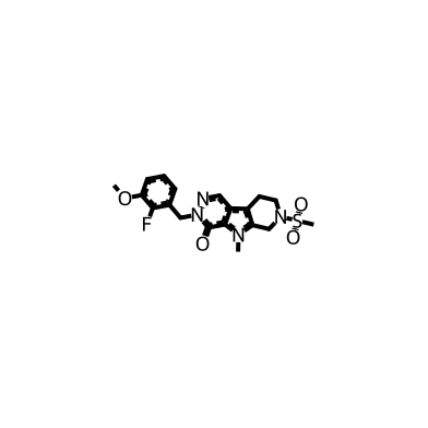 COc1cccc(Cn2ncc3c4c(n(C)c3c2=O)CN(S(C)(=O)=O)CC4)c1F